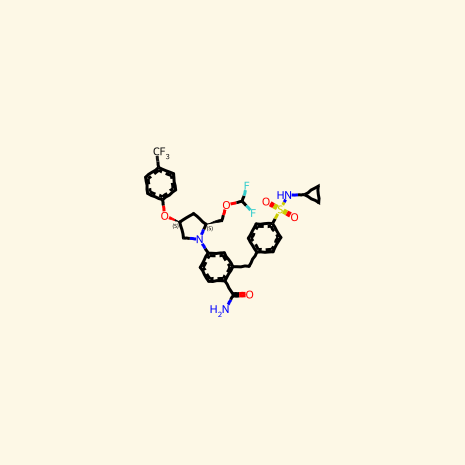 NC(=O)c1ccc(N2C[C@@H](Oc3ccc(C(F)(F)F)cc3)C[C@H]2COC(F)F)cc1Cc1ccc(S(=O)(=O)NC2CC2)cc1